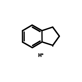 [CH]1CCc2ccccc21.[H+]